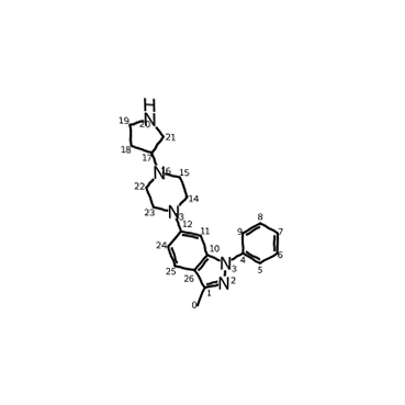 Cc1nn(-c2ccccc2)c2cc(N3CCN(C4CCNC4)CC3)ccc12